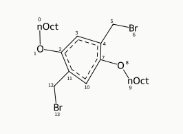 CCCCCCCCOc1cc(CBr)c(OCCCCCCCC)cc1CBr